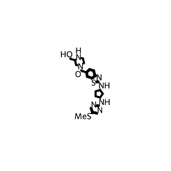 CSc1cnc(N[C@H]2CC[C@H](Nc3nc4ccc(C(=O)N5CCNC(CO)C5)cc4s3)C2)nc1